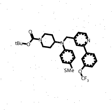 CSc1ccc(N(Cc2ccnc(-c3cccc(OC(F)(F)F)c3)c2)C2CCN(C(=O)OC(C)(C)C)CC2)cc1